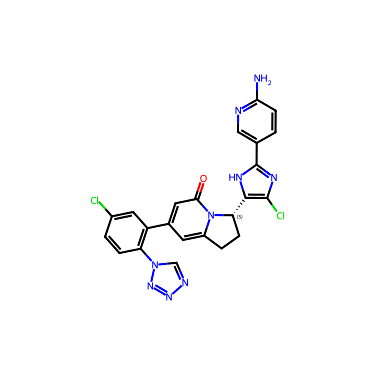 Nc1ccc(-c2nc(Cl)c([C@@H]3CCc4cc(-c5cc(Cl)ccc5-n5cnnn5)cc(=O)n43)[nH]2)cn1